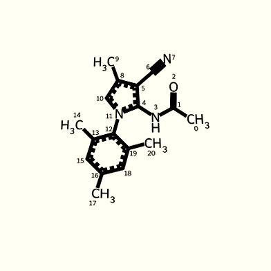 CC(=O)Nc1c(C#N)c(C)cn1-c1c(C)cc(C)cc1C